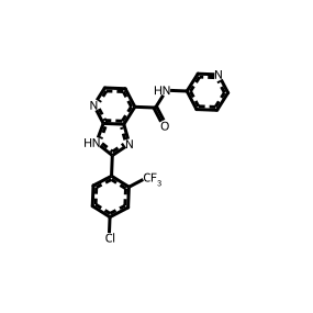 O=C(Nc1cccnc1)c1ccnc2[nH]c(-c3ccc(Cl)cc3C(F)(F)F)nc12